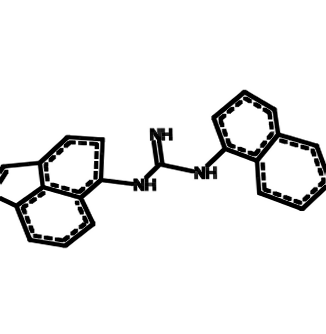 N=C(Nc1cccc2ccccc12)Nc1ccc2c3c(cccc13)C=C2